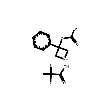 CCCC(=O)OC1(c2ccccc2)CNC1.O=C(O)C(F)(F)F